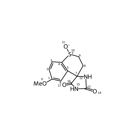 COc1ccc2c(c1)C1(CC[S+]2[O-])NC(=O)NC1=O